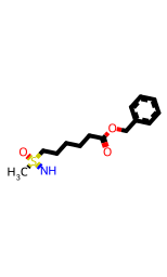 CS(=N)(=O)CCCCCC(=O)OCc1ccccc1